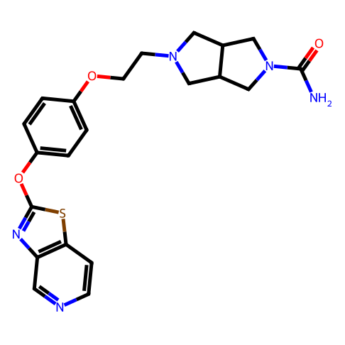 NC(=O)N1CC2CN(CCOc3ccc(Oc4nc5cnccc5s4)cc3)CC2C1